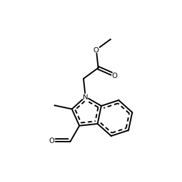 COC(=O)Cn1c(C)c(C=O)c2ccccc21